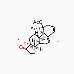 CC(=O)OC1(OC(C)=O)CC=CC2=CC[C@@H]3[C@H](CC[C@]4(C)C(=O)CC[C@@H]34)[C@H]21